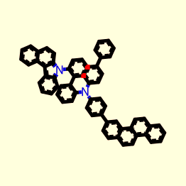 c1ccc(-c2ccc(N(c3ccc(-c4ccc5ccc6c7ccccc7ccc6c5c4)cc3)c3ccccc3-c3ccccc3-n3c4ccccc4c4c5ccccc5ccc43)cc2)cc1